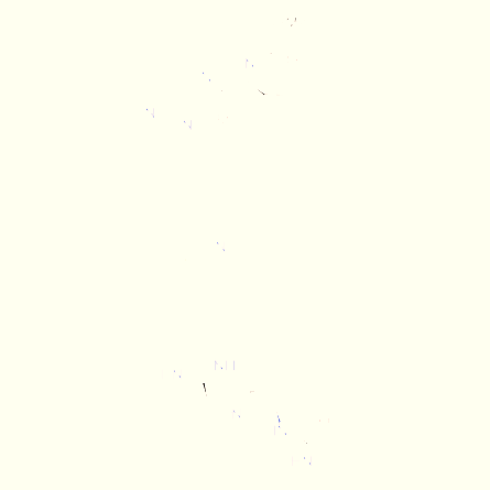 CCNC(=O)N[C@@H](C(=O)N1CCC[C@H]1C1NC=C(c2ccc3nc(-c4ccc(-c5cnc([C@@H]6CCCN6C(=O)[C@@H](NC(=O)OC)C(C)C)[nH]5)cc4)sc3c2)N1)c1ccccc1